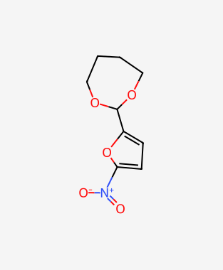 O=[N+]([O-])c1ccc(C2OCCCCO2)o1